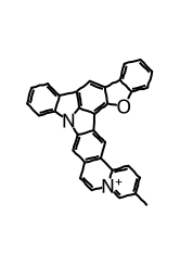 Cc1ccc2c3cc4c5c6oc7ccccc7c6cc6c7ccccc7n(c4cc3cc[n+]2c1)c65